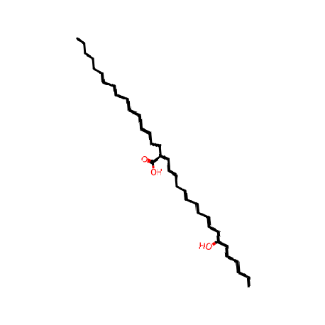 CCCCCCCCCCCCCCCCC(CCCCCCCCCCCC(O)CCCCCC)C(=O)O